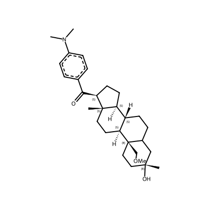 COC[C@]12CC[C@@](C)(O)CC1CC[C@@H]1[C@@H]2CC[C@]2(C)[C@@H](C(=O)c3ccc(N(C)C)cc3)CC[C@@H]12